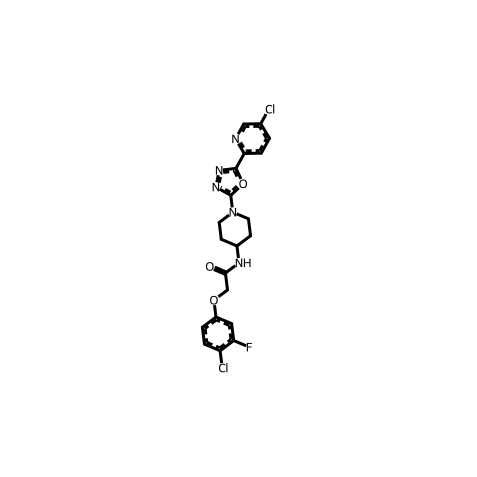 O=C(COc1ccc(Cl)c(F)c1)NC1CCN(c2nnc(-c3ccc(Cl)cn3)o2)CC1